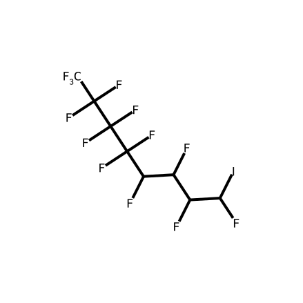 FC(I)C(F)C(F)C(F)C(F)(F)C(F)(F)C(F)(F)C(F)(F)F